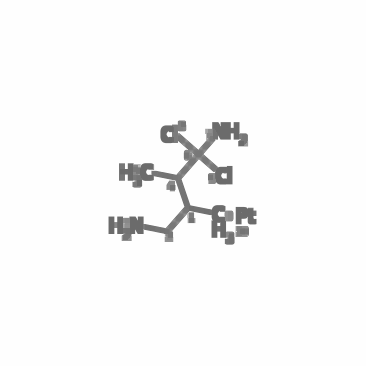 CC(CN)C(C)C(N)(Cl)Cl.[Pt]